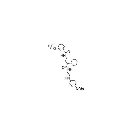 COc1ccc(NCCNC(=O)C(CCNC(=O)c2cccc(OC(F)(F)F)c2)C2CCCCC2)cc1